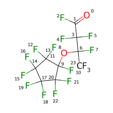 O=C(F)C(F)(F)C(F)(OC1(F)C(F)(F)C(F)(F)C(F)(F)C1(F)F)C(F)(F)F